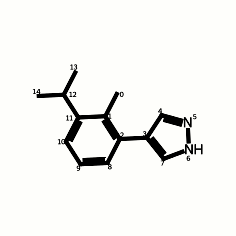 Cc1c(-c2cn[nH]c2)cccc1C(C)C